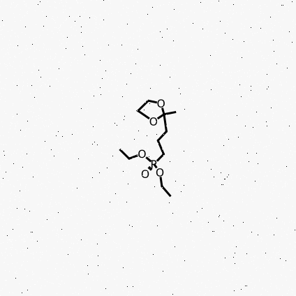 CCOP(=O)(CCCC1(C)OCCO1)OCC